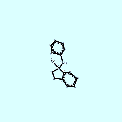 [O-][N+]1(Nc2ccccn2)CCc2ccccc21